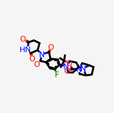 CC(C)(C)OC(=O)N1CC2CCC(C1)N2C1CCN(c2cc3c(cc2F)C(=O)N(C2CCC(=O)NC2=O)C3=O)CC1